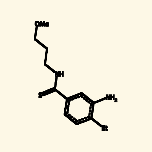 CCc1ccc(C(=S)NCCCOC)cc1N